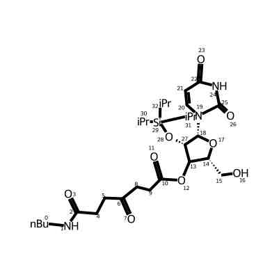 CCCCNC(=O)CCC(=O)CCC(=O)OC1[C@@H](CO)O[C@@H](n2ccc(=O)[nH]c2=O)[C@H]1O[Si](C(C)C)(C(C)C)C(C)C